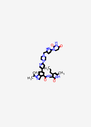 CCCc1cc(C)[nH]c(=O)c1CNC(=O)c1cc(-c2ccc(N3CCN(Cc4ccc(N5CCC(=O)NC5=O)nn4)CC3)nc2)cc2c1cnn2C(C)C